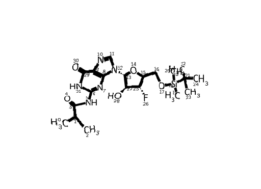 CC(C)C(=O)Nc1nc2c(ncn2[C@@H]2OC(CO[Si](C)(C)C(C)(C)C)[C@H](F)[C@H]2O)c(=O)[nH]1